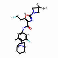 CCC1(OC)CN(c2nc(C(=O)Nc3cc(C)c(N4C5CCCC4CC5)c(F)c3)c(CCF)o2)C1